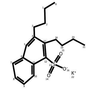 CCCCc1cc2ccccc2c(S(=O)(=O)[O-])c1CCCC.[K+]